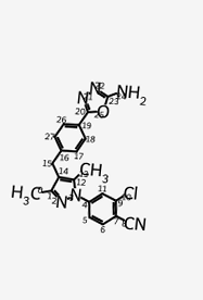 Cc1nn(-c2ccc(C#N)c(Cl)c2)c(C)c1Cc1ccc(-c2nnc(N)o2)cc1